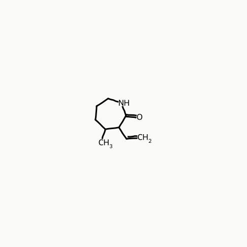 C=CC1C(=O)NCCCC1C